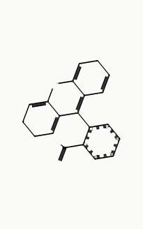 O=C(O)c1ccccc1C1=C2C=CCC=C2OC2=CCCC=C21